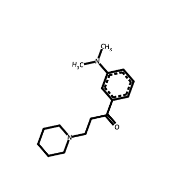 CN(C)c1cccc(C(=O)CCN2CCCCC2)c1